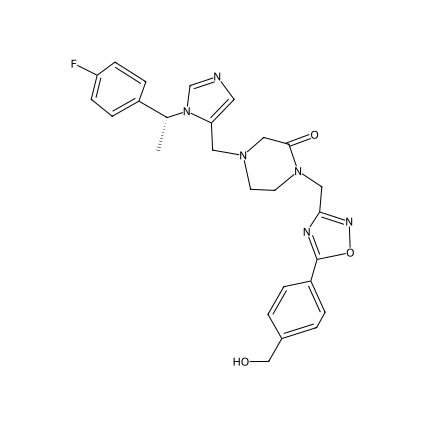 C[C@H](c1ccc(F)cc1)n1cncc1CN1CCN(Cc2noc(-c3ccc(CO)cc3)n2)C(=O)C1